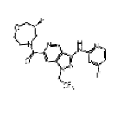 O=C(c1cc2c(cn1)c(Nc1cc(F)ccn1)nn2CC(F)(F)F)N1CCOC[C@@H](F)C1